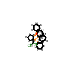 ClC(Cl)C1(P(c2ccccc2)c2ccccc2)CCCC1P(c1ccccc1)c1ccccc1